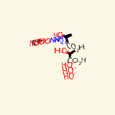 CC(O)C(=O)O.CC(O)C(=O)O.[NH4+].[NH4+].[OH-].[OH-].[OH-].[OH-].[OH-].[OH-].[Ti+4]